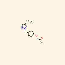 O=C(O)c1cnn(Cc2ccc(OCC(=O)C(F)(F)F)cc2)c1